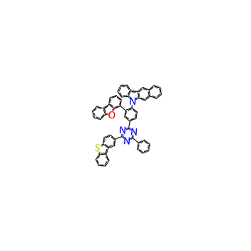 c1ccc(-c2nc(-c3ccc(-n4c5ccccc5c5cc6ccccc6cc54)c(-c4cccc5c4oc4ccccc45)c3)nc(-c3ccc4sc5ccccc5c4c3)n2)cc1